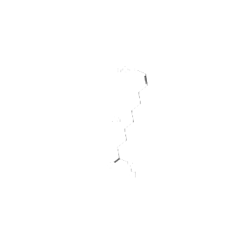 CCCCCCCC/C=C\CCCCCCCC(=O)OCl.[Zn]